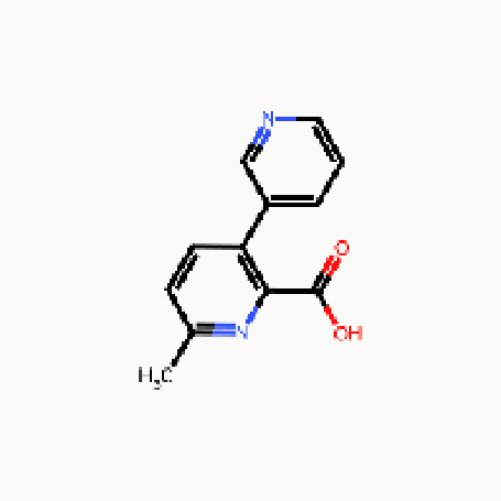 Cc1ccc(-c2cccnc2)c(C(=O)O)n1